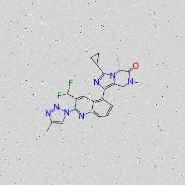 Cc1cn(-c2nc3cccc(-c4nc(C5CC5)n5c4CN(C)C(=O)[C@H]5C)c3cc2C(F)F)nn1